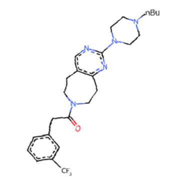 CCCCN1CCN(c2ncc3c(n2)CCN(C(=O)Cc2cccc(C(F)(F)F)c2)CC3)CC1